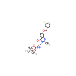 Cc1nc2cc(OCc3cccc(F)c3)ccc2c(=O)n1CCNC(=O)OC(C)(C)C